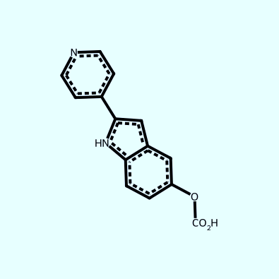 O=C(O)Oc1ccc2[nH]c(-c3ccncc3)cc2c1